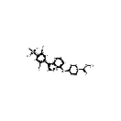 CC(C)OC(=O)N1CCC(Oc2ccnc3c(-c4cc(F)c(S(C)(=O)=O)cc4F)cnn23)CC1